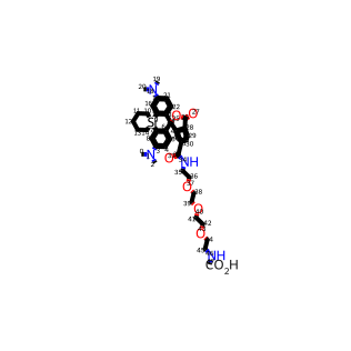 CN(C)c1ccc2c(c1)[Si]1(CCCCC1)c1cc(N(C)C)ccc1C21OC(=O)c2ccc(C(=O)NCCOCCOCCOCCNC(=O)O)cc21